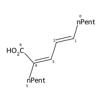 CCCCCC=CC=C(CCCCC)C(=O)O